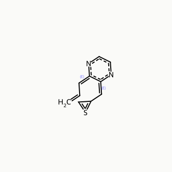 C=C/C=c1/nccn/c1=C/C1=S=C1